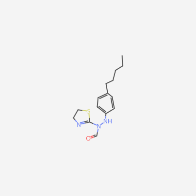 CCCCCc1ccc(NN(C=O)C2=NCCS2)cc1